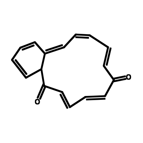 O=C1/C=C/C=C\C=C2/C=CC=CC2C(=O)/C=C/C=C/1